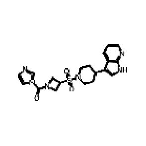 O=C(N1CC(S(=O)(=O)N2CCC(c3c[nH]c4ncccc34)CC2)C1)n1ccnc1